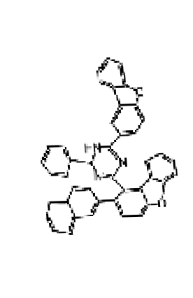 c1ccc(C2N=C(c3c(-c4ccc5ccccc5c4)ccc4oc5ccccc5c34)N=C(c3ccc4oc5ccccc5c4c3)N2)cc1